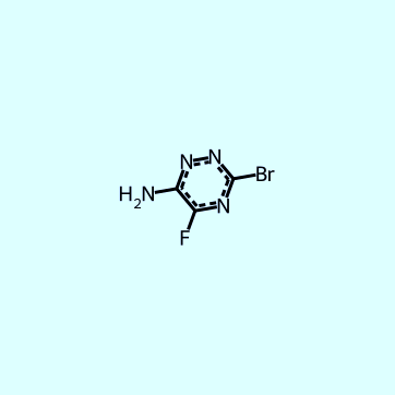 Nc1nnc(Br)nc1F